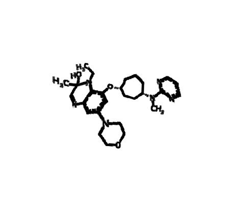 CCN1c2c(cc(N3CCOCC3)cc2O[C@@H]2CCC[C@H](N(C)c3ncccn3)CC2)N=CC1(C)O